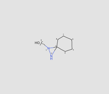 O=C(O)N1NC12CCCCC2